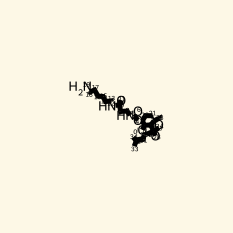 COC1C(OC(=O)NCCC(=O)NCCCCCCN)CC[C@]2(CO2)C1C1(C)O[C@@H]1CC=C(C)C